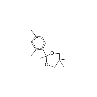 Cc1ccc(C2(C)OCC(C)(C)CO2)c(C)c1